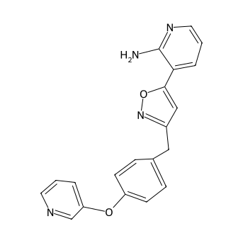 Nc1ncccc1-c1cc(Cc2ccc(Oc3cccnc3)cc2)no1